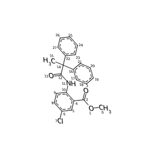 COC(=O)c1cc(Cl)ccc1NC(=O)C(C)(c1ccccc1)c1ccccc1